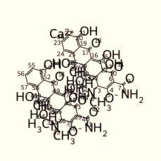 CN(C)[C@@H]1C([O-])=C(C(N)=O)C(=O)[C@@]2(O)C(O)=C3C(=O)c4c(O)cccc4[C@@](C)(O)[C@H]3[C@H](O)[C@@H]12.CN(C)[C@@H]1C([O-])=C(C(N)=O)C(=O)[C@@]2(O)C(O)=C3C(=O)c4c(O)cccc4[C@@](C)(O)[C@H]3[C@H](O)[C@@H]12.[Ca+2]